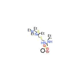 CCC(C)=CNC(=CS(=O)(=O)c1ccccc1Br)NCCSCc1nc(C(CC)N(CC)CC)sc1CC